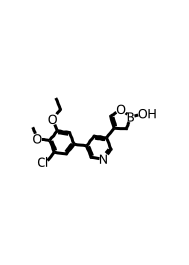 CCOc1cc(-c2cncc(C3=COB(O)C3)c2)cc(Cl)c1OC